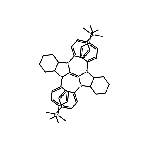 CN(C)c1ccc(N2C(=C3N(c4ccc(N(C)C)cc4)C4CCCCC4N3c3ccc(N(C)C)cc3)N(c3ccc(N(C)C)cc3)C3CCCCC32)cc1